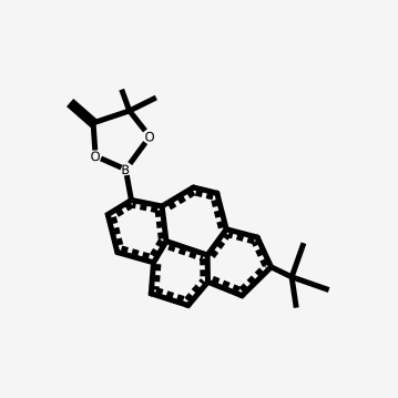 C=C1OB(c2ccc3ccc4cc(C(C)(C)C)cc5ccc2c3c45)OC1(C)C